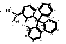 OB(O)C1=CC=CC2C1Oc1ccccc1C2(c1ccccc1)c1ccccc1